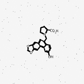 O=C(O)[C@@H]1CCCN1Cc1cc2cc3c(cc2c2cc(O)ccc12)OCO3